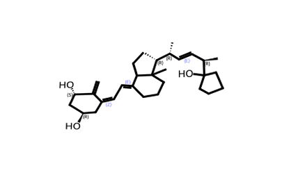 C=C1/C(=C\C=C2/CCCC3(C)C2CC[C@@H]3[C@H](C)/C=C/[C@@H](C)C2(O)CCCC2)C[C@@H](O)C[C@@H]1O